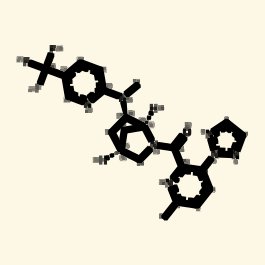 Cc1ccc(-n2nccn2)c(C(=O)N2C[C@H]3C[C@@H](N(C)c4ccc(C(F)(F)F)cn4)[C@@H]2C3)n1